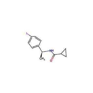 C[C@H](NC(=O)C1CC1)c1ccc(I)cc1